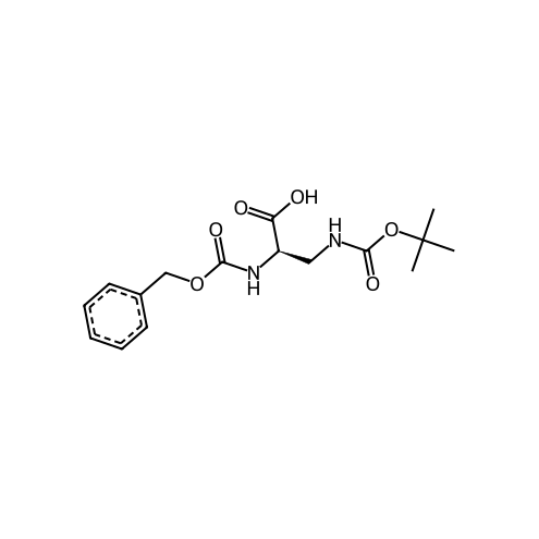 CC(C)(C)OC(=O)NC[C@@H](NC(=O)OCc1ccccc1)C(=O)O